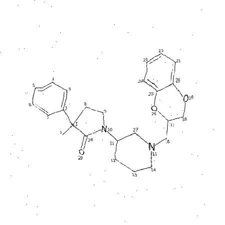 CC1(c2ccccc2)CCN(C2CCCN(CC3COc4ccccc4O3)C2)C1=O